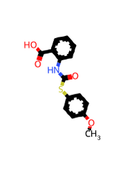 COc1ccc(SC(=O)Nc2ccccc2C(=O)O)cc1